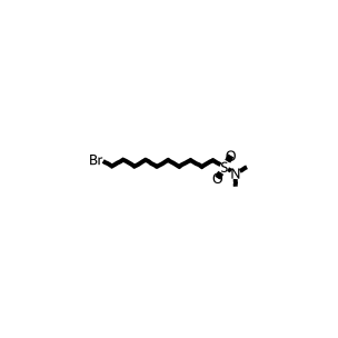 CN(C)S(=O)(=O)CCCCCCCCCCBr